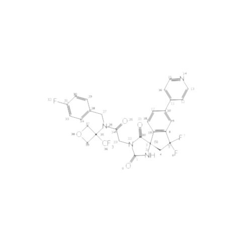 O=C1N[C@]2(CC(F)(F)c3cc(-c4ccncc4)ccc32)C(=O)N1CC(=O)N(Cc1ccc(F)cc1)C1(C(F)(F)F)COC1